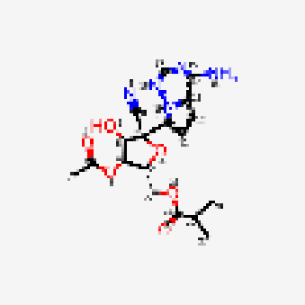 CC(=O)O[C@H]1[C@@H](O)[C@](C#N)(c2ccc3c(N)ncnn23)O[C@@H]1COC(=O)C(C)C